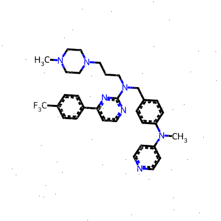 CN1CCN(CCCN(Cc2ccc(N(C)c3ccncc3)cc2)c2nccc(-c3ccc(C(F)(F)F)cc3)n2)CC1